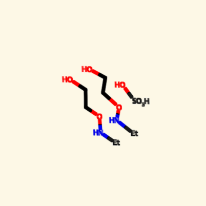 CCNOCCO.CCNOCCO.O=S(=O)(O)O